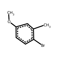 COc1[c]c(C)c(Br)cc1